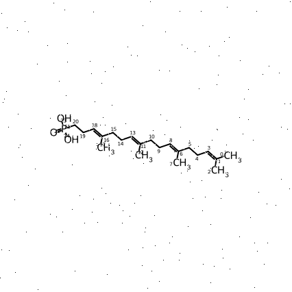 CC(C)=CCC/C(C)=C/CC/C(C)=C/CC/C(C)=C/CCP(=O)(O)O